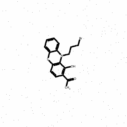 CC(=O)c1ccc2c(c1O)N(CCCBr)c1ccccc1S2